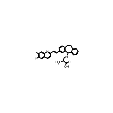 CC(CSC1c2ccccc2CCc2ccc(C=Cc3ccc4cc(F)c(F)cc4n3)cc21)C(=O)O